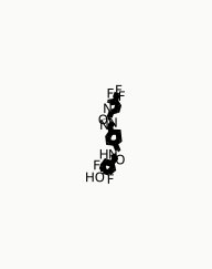 O=C(NCC1CCC(c2noc(-c3ccc(C(F)(F)F)cn3)n2)CC1)c1cc(F)c(O)c(F)c1